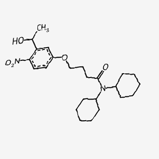 CC(O)c1cc(OCCCC(=O)N(C2CCCCC2)C2CCCCC2)ccc1[N+](=O)[O-]